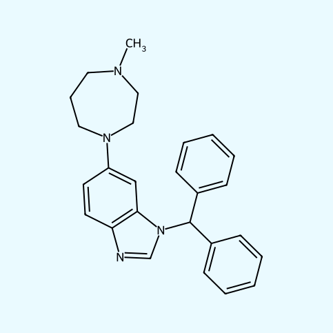 CN1CCCN(c2ccc3ncn(C(c4ccccc4)c4ccccc4)c3c2)CC1